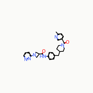 Cc1ccc(C(=O)N2CCC(Cc3ccc(NC(=O)C4CN(c5cccnn5)C4)cc3)CC2)cn1